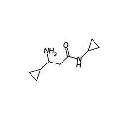 NC(CC(=O)NC1CC1)C1CC1